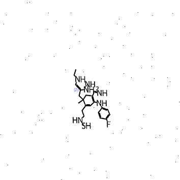 CCN/C=C(/CC1(C)CC(C=N)=C(Nc2ccc(F)cc2)C=C1CCNS)NN